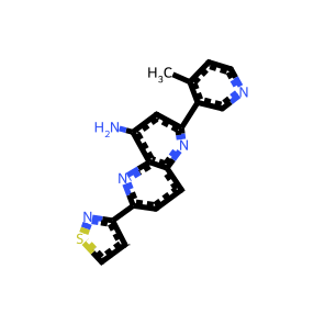 Cc1ccncc1-c1cc(N)c2nc(-c3[c]csn3)ccc2n1